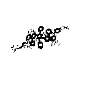 C/C=C(C)\C=C/CN(c1ccc(C)cc1)c1cccc2c1c1cccc3c4c(-c5ccccc5)c5c(c(C6=CC=CCC6)c4n2c13)c1cccc2c3c(N(c4ccc(C)cc4)c4ccc(C)cc4)cccc3n5c21